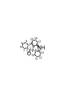 O=C(c1ccccc1)C1c2ccccc2Nc2ccccc21